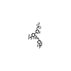 CCOC(=O)Cc1cncc(-c2ccc(C(F)(F)F)cc2CNCc2ccc(C(F)(F)F)nc2)c1